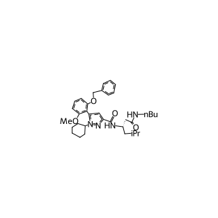 CCCCNC(=O)C[C@H](CC(C)C)NC(=O)c1cc(-c2c(OC)cccc2OCc2ccccc2)n(C2CCCCC2)n1